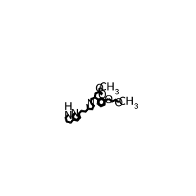 COCCOc1cccc(C(CC(=O)OC)CN2CCC(CCc3ccc4c(n3)NCCC4)C2)c1